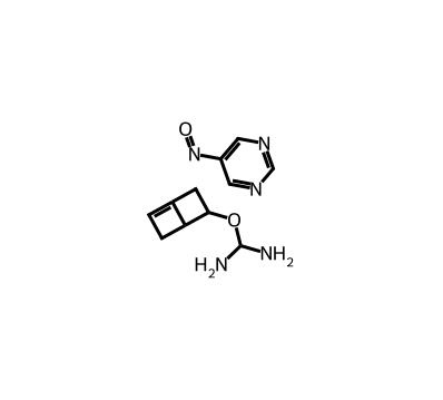 NC(N)OC1CC2=CCC21.O=Nc1cncnc1